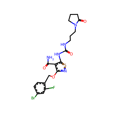 NC(=O)c1c(OCc2ccc(Br)cc2F)nsc1NC(=O)NCCCN1CCCC1=O